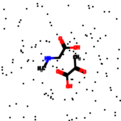 CC(=O)C(=O)O.CNCC(=O)O